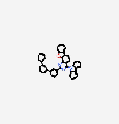 c1ccc(-c2cccc(-c3cccc(-c4nc(-n5c6ccccc6c6ccccc65)c5ccc6c7ccccc7oc6c5n4)c3)c2)cc1